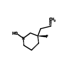 C=CC[C@]1(F)CCCN(O)C1